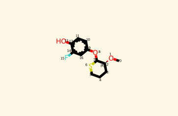 CO[C@@H]1CCCSC1Oc1ccc(O)c(F)c1